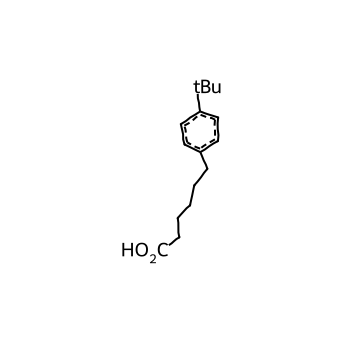 CC(C)(C)c1ccc(CCCCCC(=O)O)cc1